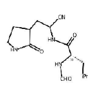 CC(C)C[C@H](NC=O)C(=O)NC(C#N)CC1CCNC1=O